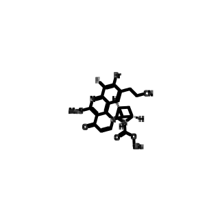 CSc1nc2c(F)c(Br)c(CCC#N)cc2c2c1c(=O)ccn2[C@H]1[C@@H]2C[C@H]1N(C(=O)OC(C)(C)C)C2